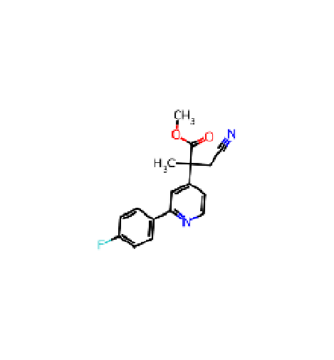 COC(=O)C(C)(CC#N)c1ccnc(-c2ccc(F)cc2)c1